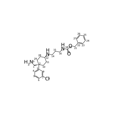 NC[C@]1(c2cccc(Cl)c2)CC[C@H](NCCCNC(=O)OCc2ccccc2)CC1